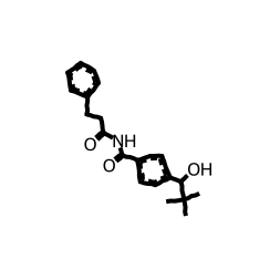 CC(C)(C)C(O)c1ccc(C(=O)NC(=O)CCc2ccccc2)cc1